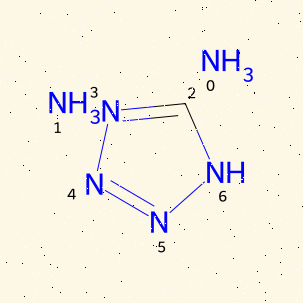 N.N.c1nnn[nH]1